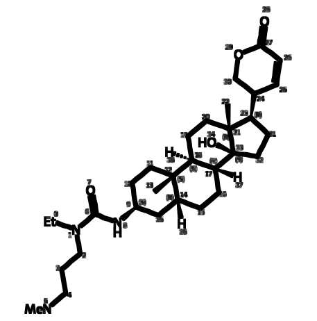 CCN(CCCNC)C(=O)N[C@H]1CC[C@@]2(C)[C@H](CC[C@@H]3[C@@H]2CC[C@]2(C)[C@@H](C4C=CC(=O)OC4)CC[C@]32O)C1